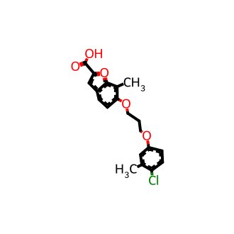 Cc1cc(OCCCOc2ccc3cc(C(=O)O)oc3c2C)ccc1Cl